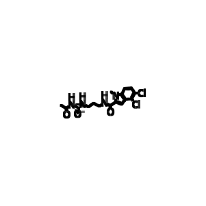 CC(=O)N[S+]([O-])NCCCNC(=O)c1cc2c(Cl)c(Cl)ccc2n1C